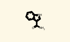 NC(=O)c1c[nH]c2cc[c]cc12